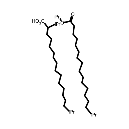 CC(C)CCCCCCCCCCCCCC(C(=O)O)C(C)C.CC(C)CCCCCCCCCCCCCCC(=O)OC(C)C